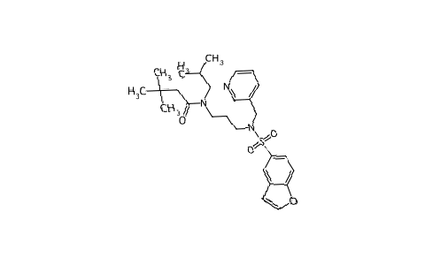 CC(C)CN(CCCN(Cc1cccnc1)S(=O)(=O)c1ccc2occc2c1)C(=O)CC(C)(C)C